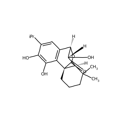 CC(C)c1cc2c(c(O)c1O)[C@@]13CCCC(C)(C)[C@@H]1[C@@H](O)[C@@H]2OC3=O